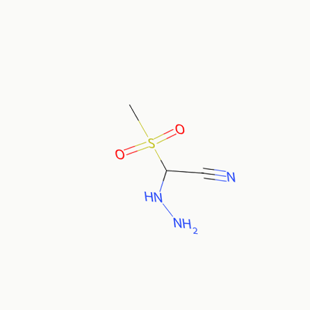 CS(=O)(=O)C(C#N)NN